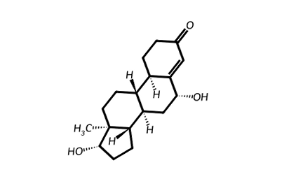 C[C@]12CC[C@H]3[C@@H](C[C@@H](O)C4=CC(=O)CC[C@@H]43)[C@@H]1CC[C@@H]2O